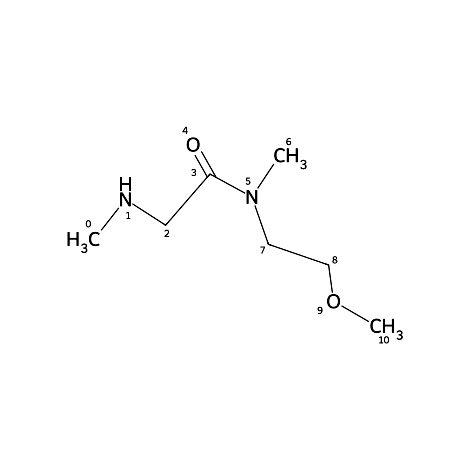 CNCC(=O)N(C)CCOC